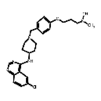 CN(C)CCCOc1ccc(CN2CCC(Nc3ncnc4ccc(Cl)cc34)CC2)cc1